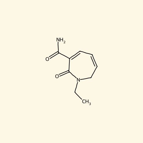 CCN1CC=CC=C(C(N)=O)C1=O